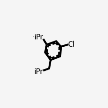 C[C](C)c1cc(Cl)cc(CC(C)C)c1